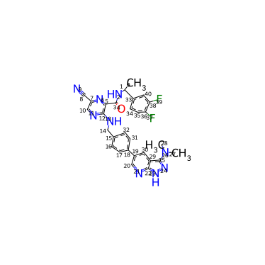 CC(NC(=O)c1nc(C#N)cnc1NCc1ccc(-c2cnc3[nH]nc(N(C)C)c3c2)cc1)c1ccc(F)c(F)c1